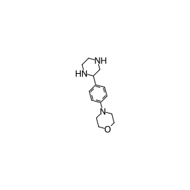 c1cc(N2CCOCC2)ccc1C1CNCCN1